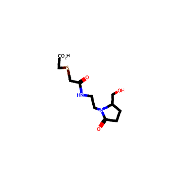 O=C(O)CSCC(=O)NCCN1C(=O)CCC1CO